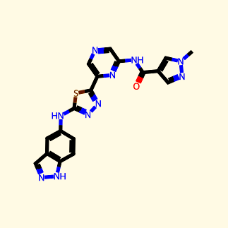 Cn1cc(C(=O)Nc2cncc(-c3nnc(Nc4ccc5[nH]ncc5c4)s3)n2)cn1